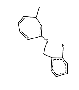 CC1C=CC=CC(SCc2ccccc2F)=C1